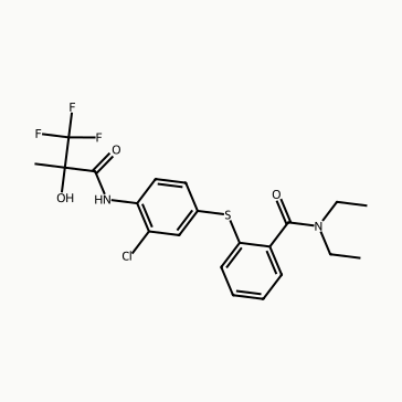 CCN(CC)C(=O)c1ccccc1Sc1ccc(NC(=O)C(C)(O)C(F)(F)F)c(Cl)c1